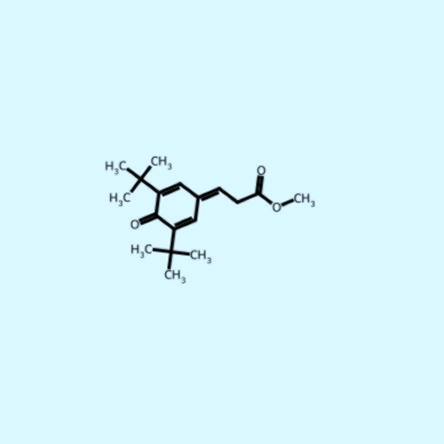 COC(=O)CC=C1C=C(C(C)(C)C)C(=O)C(C(C)(C)C)=C1